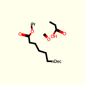 C=O.CCC(=O)O.CCCCCCCCCCCCCCCC(=O)OC(C)C